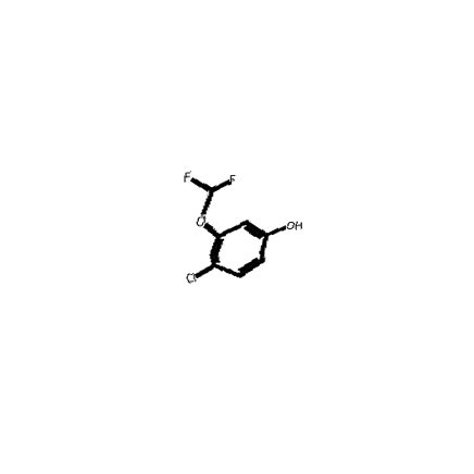 Oc1ccc(Cl)c(OC(F)F)c1